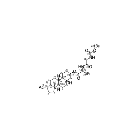 CC(=O)[C@H]1CC[C@H]2[C@@H]3CC[C@H]4C[C@H](OC(=O)[C@@H](NC(=O)CNC(=O)OC(C)(C)C)C(C)C)CC[C@]4(C)[C@H]3CC[C@]12C